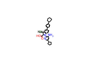 Nc1cc(C2CCCC2)cnc1N1c2ccc(-c3ccc(C4CCCCC4)cc3)cc2C(Cl)C1C(=O)O.[NaH]